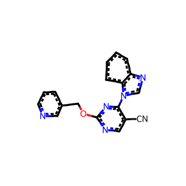 N#Cc1cnc(OCc2cccnc2)nc1-n1cnc2ccccc21